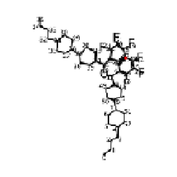 CCCCC1CCC(C2CCC(C(OC(c3ccc(F)c(F)c3F)C3CCC(C4CCC(CCCC)CC4)CC3)c3ccc(F)c(F)c3F)CC2)CC1